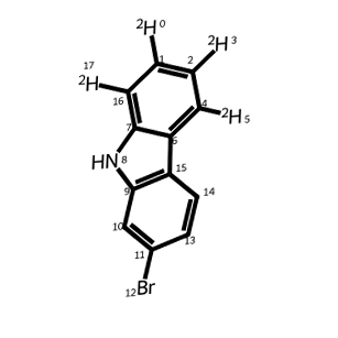 [2H]c1c([2H])c([2H])c2c([nH]c3cc(Br)ccc32)c1[2H]